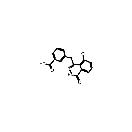 O=C(O)c1cccc(Cc2n[nH]c(=O)c3cccc(Cl)c23)c1